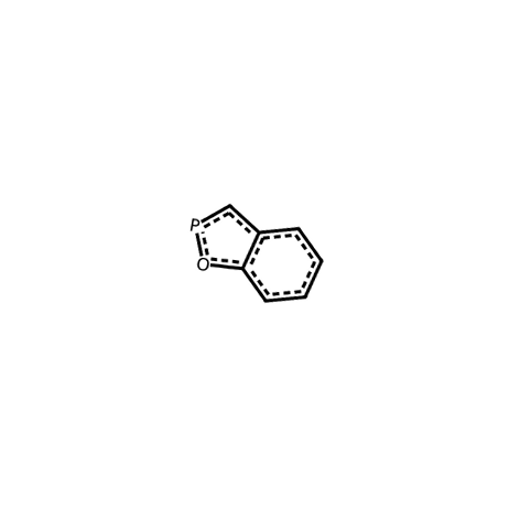 c1ccc2opcc2c1